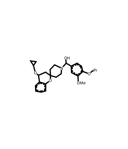 COc1cc(C(O)N2CCC3(CC2)CC(OC2CC2)c2ccccc2O3)ccc1OC(C)C